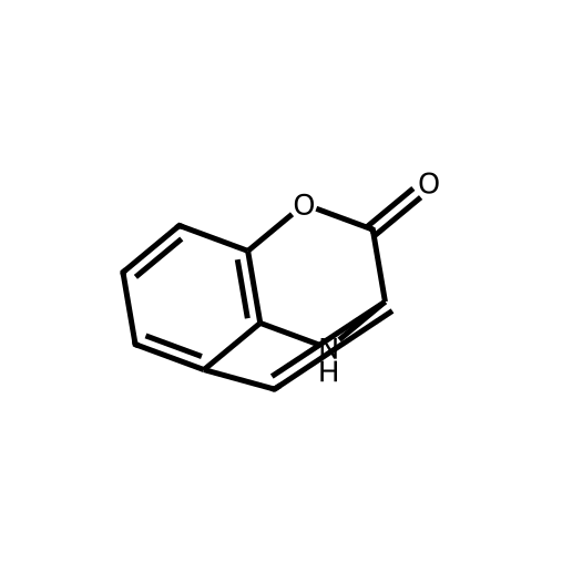 O=C1Oc2cccc3cc1[nH]c23